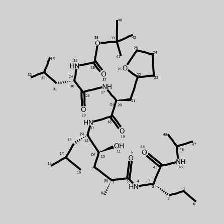 CCC[C@H](NC(=O)[C@H](C)C[C@H](O)[C@H](CC(C)C)NC(=O)[C@H](CC1CCCO1)NC(=O)[C@H](CC(C)C)NC(=O)OC(C)(C)C)C(=O)NC(C)C